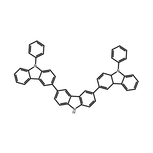 C1=CC2C(C=C1c1ccc3[nH]c4ccc(-c5ccc6c(c5)c5ccccc5n6-c5ccccc5)cc4c3c1)c1ccccc1N2c1ccccc1